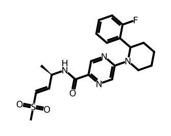 C[C@H](/C=C/S(C)(=O)=O)NC(=O)c1cnc(N2CCCCC2c2ccccc2F)cn1